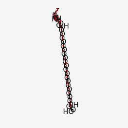 CC(C)CCC[C@@H](C)[C@H]1CC[C@H]2[C@@H]3CC=C4CC(OC(=O)NCCOCCOCCOCCOCCOCCOCCOCCOCCOCCOCCOCCOCCOCCOCCOCCOCCOCCOCCOCCNC(=O)CCC(=O)O)CC[C@]4(C)[C@H]3CC[C@]12C